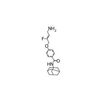 NCC=C(F)COc1ccc(C(=O)NC23CC4CC(CC(C4)C2)C3)cc1